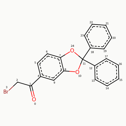 O=C(CBr)c1ccc2c(c1)OC(c1ccccc1)(c1ccccc1)O2